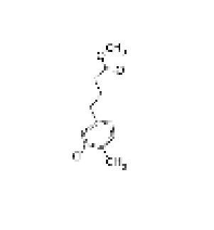 COC(=O)CCCc1ccc(C)c(Cl)c1